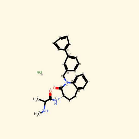 CNC(C)C(=O)N[C@H]1CCc2ccccc2N(Cc2cccc(-c3ccccc3)c2)C1=O.Cl